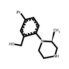 CC(C)c1ccc(N2CCNC[C@@H]2C)c(CO)c1